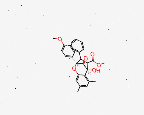 COC(=O)C1C(c2ccccc2)[C@]2(c3ccc(OC)cc3)Oc3cc(C)cc(C)c3[C@@]1(O)C2=O